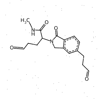 CNC(=O)C(CCC=O)N1Cc2cc(CCC=O)ccc2C1=O